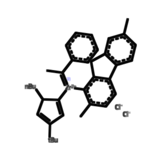 CCCCC1C=C(C(C)(C)C)C=[C]1/[Zr+2](=[C](\C)c1ccccc1)[c]1c(C)ccc2c1Cc1cc(C)ccc1-2.[Cl-].[Cl-]